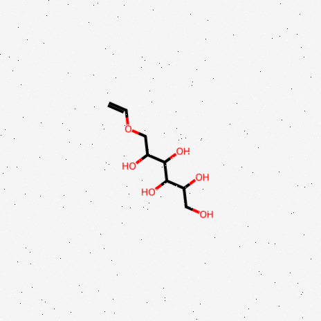 C=COCC(O)C(O)C(O)C(O)CO